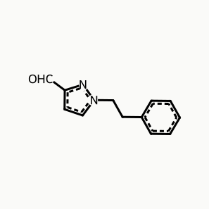 O=Cc1ccn(CCc2ccccc2)n1